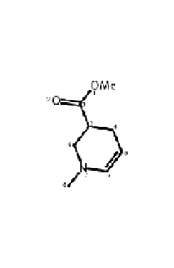 COC(=O)C1CC=CN(C)C1